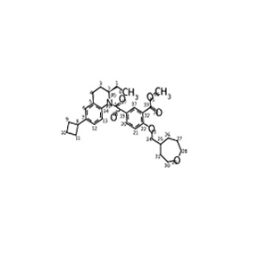 CC[C@@H]1CCc2cc(C3CCC3)ccc2N1S(=O)(=O)c1ccc(OCC2CCCOCC2)c(C(=O)OC)c1